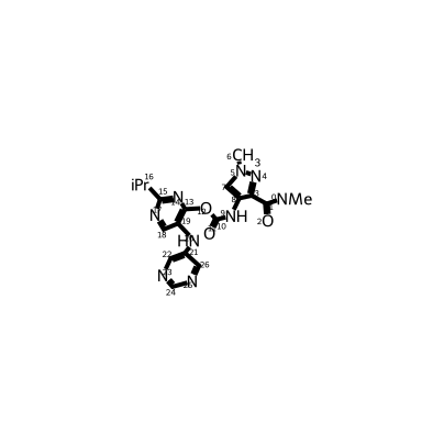 CNC(=O)c1nn(C)cc1NC(=O)Oc1nc(C(C)C)ncc1Nc1cncnc1